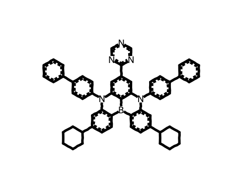 c1ccc(-c2ccc(N3c4cc(C5CCCCC5)ccc4B4c5ccc(C6CCCCC6)cc5N(c5ccc(-c6ccccc6)cc5)c5cc(-c6ncncn6)cc3c54)cc2)cc1